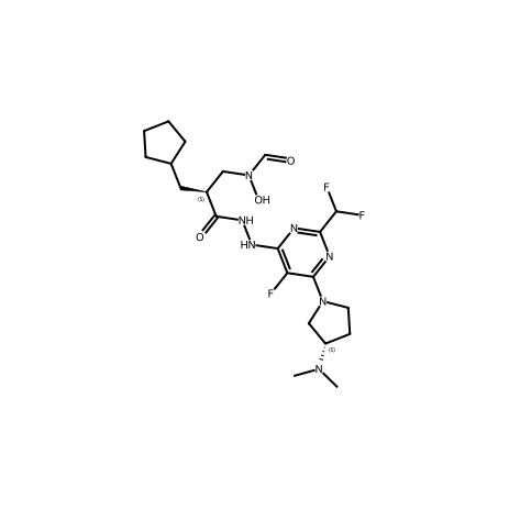 CN(C)[C@H]1CCN(c2nc(C(F)F)nc(NNC(=O)[C@@H](CC3CCCC3)CN(O)C=O)c2F)C1